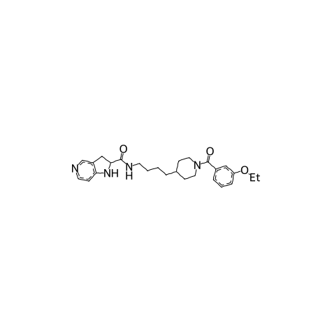 CCOc1cccc(C(=O)N2CCC(CCCCNC(=O)C3Cc4cnccc4N3)CC2)c1